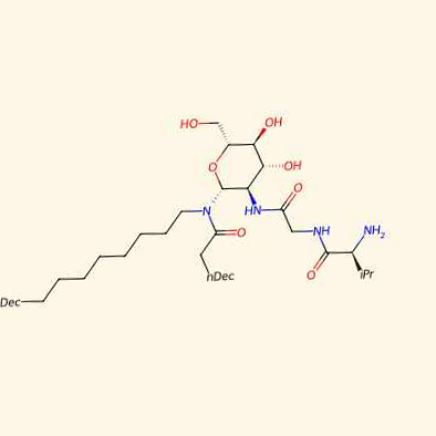 CCCCCCCCCCCCCCCCCCN(C(=O)CCCCCCCCCCC)[C@@H]1O[C@H](CO)[C@@H](O)[C@H](O)[C@H]1NC(=O)CNC(=O)[C@@H](N)C(C)C